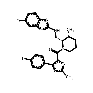 Cc1nc(C(=O)N2CCC[C@@H](C)[C@H]2CNc2nc3ccc(F)cc3o2)c(-c2ccc(F)cc2)s1